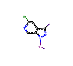 Brc1cc2c(I)nn(PI)c2cn1